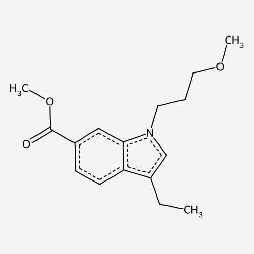 CCc1cn(CCCOC)c2cc(C(=O)OC)ccc12